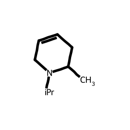 CC(C)N1CC=CCC1C